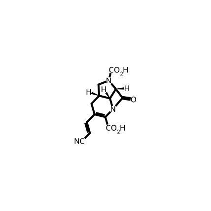 N#C/C=C/C1=C(C(=O)O)N2C(=O)[C@@H]3[C@H]2[C@H](C1)CN3C(=O)O